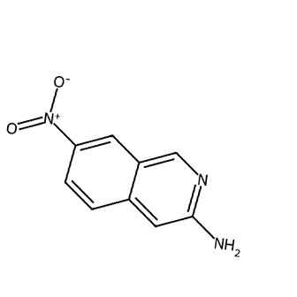 Nc1cc2ccc([N+](=O)[O-])cc2cn1